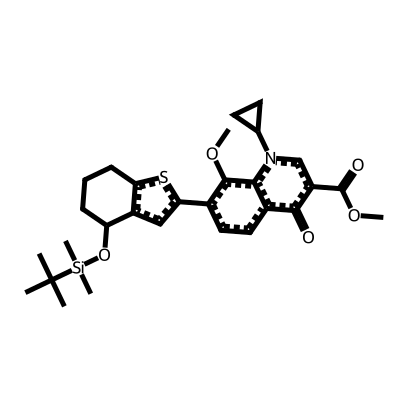 COC(=O)c1cn(C2CC2)c2c(OC)c(-c3cc4c(s3)CCCC4O[Si](C)(C)C(C)(C)C)ccc2c1=O